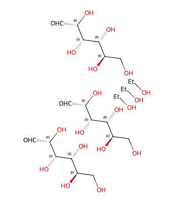 CCO.CCO.CCO.O=C[C@H](O)[C@@H](O)[C@H](O)[C@H](O)CO.O=C[C@H](O)[C@@H](O)[C@H](O)[C@H](O)CO.O=C[C@H](O)[C@@H](O)[C@H](O)[C@H](O)CO